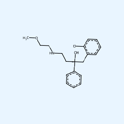 COCCNCCC(O)(Cc1ccccc1Cl)c1ccccc1